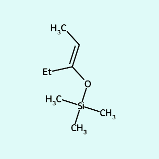 C/C=C(\CC)O[Si](C)(C)C